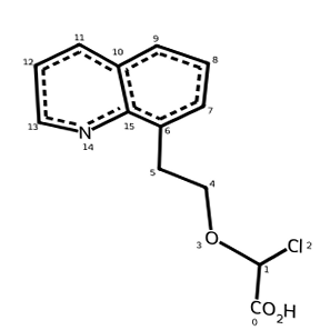 O=C(O)C(Cl)OCCc1cccc2cccnc12